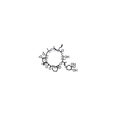 C=CC[C@@H]1/C=C(\C)C[C@H](C)C[C@H](OC)[C@H]2O[C@](O)(C(=C)C[C@@H]2OC)C(=O)C(=O)N2CCCC[C@H]2C(=O)O[C@H](/C(C)=C/[C@@H]2CC[C@@H](O)[C@](O)(OC)C2)[C@H](C)[C@@H](O)CC1=O